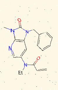 C=CC(=O)N(CC)c1cnc2c(c1)n(Cc1ccccc1)c(=O)n2C